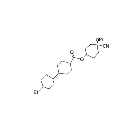 CCCC1(C#N)CCC(OC(=O)C2CCC(C3CCC(CC)CC3)CC2)CC1